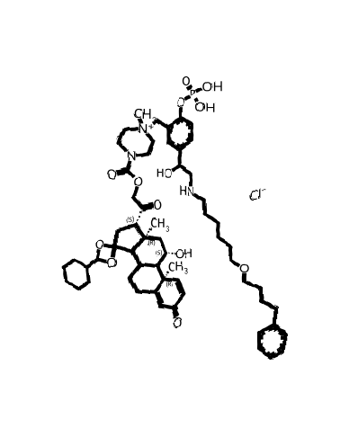 C[C@]12C=CC(=O)C=C1CCC1C2[C@@H](O)C[C@@]2(C)C1C1(C[C@@H]2C(=O)COC(=O)N2CC[N+](C)(Cc3cc(C(O)CNCCCCCCOCCCCc4ccccc4)ccc3OP(=O)(O)O)CC2)OC(C2CCCCC2)O1.[Cl-]